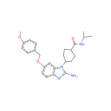 COc1ccc(COc2ccc3nc(N)n(C4CCC(C(=O)NC(C)C)CC4)c3c2)cc1